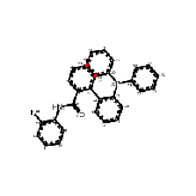 Cc1ccc(C(=O)Nc2ccccc2F)c(-c2ccccc2P(c2ccccc2)c2ccccc2)c1